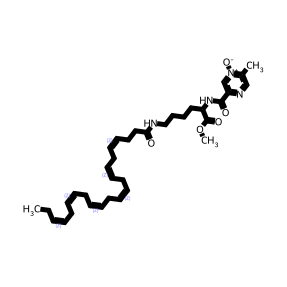 CC/C=C\C/C=C\C/C=C\C/C=C\C/C=C\C/C=C\CCC(=O)NCCCCC(NC(=O)c1c[n+]([O-])c(C)cn1)C(=O)OC